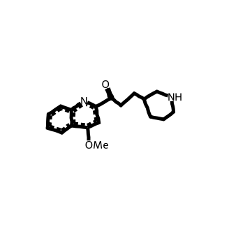 COc1cc(C(=O)CCC2CCCNC2)nc2ccccc12